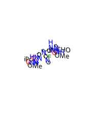 COC(=O)N[C@H](C(=O)N1CCC[C@H]1c1nc2cc([C@@H]3CC[C@@H](c4ccc5c(c4)NC([C@@H]4CCCN4[C@@](C=O)(NC(=O)OC)C(C)C)N5)N3c3ccc(N4CCCCC4)c(F)c3)ccc2[nH]1)C(C)C